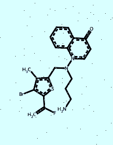 C=C(F)c1sc(CN(CCCN)n2ccc(=O)c3ccccc32)c(C)c1Br